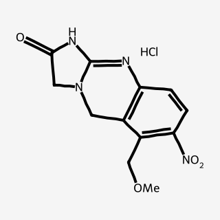 COCc1c([N+](=O)[O-])ccc2c1CN1CC(=O)NC1=N2.Cl